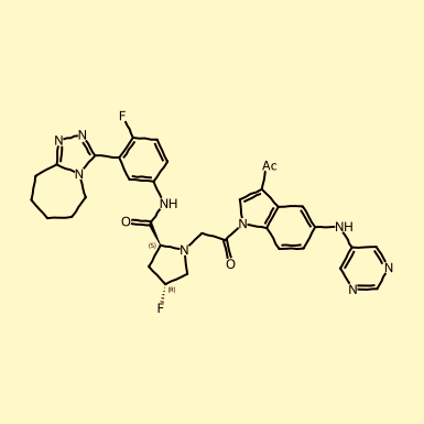 CC(=O)c1cn(C(=O)CN2C[C@H](F)C[C@H]2C(=O)Nc2ccc(F)c(-c3nnc4n3CCCCC4)c2)c2ccc(Nc3cncnc3)cc12